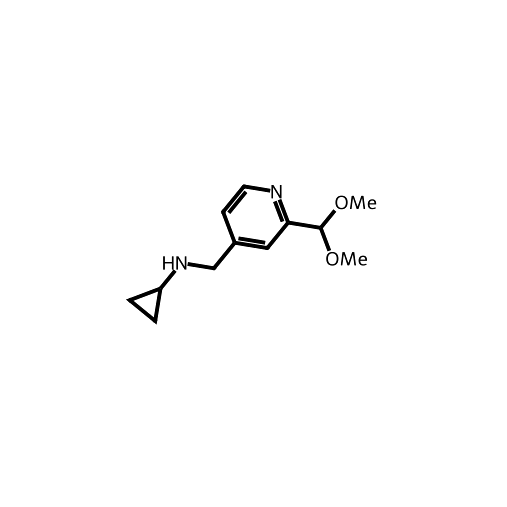 COC(OC)c1cc(CNC2CC2)ccn1